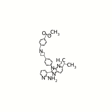 COC(=O)c1ccc(CN2CC(c3ccc(-n4c(-c5cccnc5N)nc5ccc(C(C)C)nc54)cc3)C2)cc1